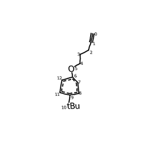 C#CCCCOc1ccc(C(C)(C)C)cc1